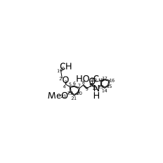 C#CCOCc1cc(C=CC(=O)Nc2ccccc2C(=O)O)ccc1OC